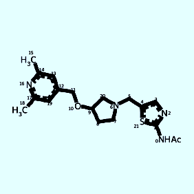 CC(=O)Nc1ncc(CN2CCC(OCc3cc(C)nc(C)c3)C2)s1